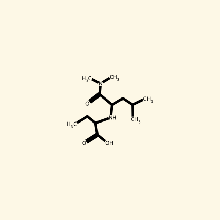 CCC(NC(CC(C)C)C(=O)N(C)C)C(=O)O